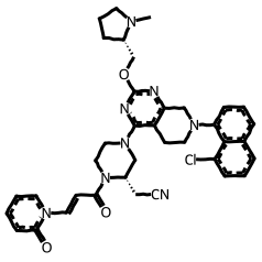 CN1CCC[C@H]1COc1nc2c(c(N3CCN(C(=O)/C=C/n4ccccc4=O)[C@@H](CC#N)C3)n1)CCN(c1cccc3cccc(Cl)c13)C2